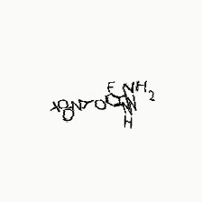 CC(C)(C)OC(=O)N1CC(COc2cc(F)c3c(N)n[nH]c3c2)C1